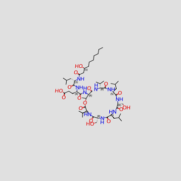 CCCCCCC[C@H](O)CC(=O)N[C@@H](CC(C)C)C(=O)N[C@H](CCC(=O)O)C(=O)N[C@H]1C(=O)N[C@H](C(C)C)C(=O)N[C@@H](CC(C)C)C(=O)N[C@H](CO)C(=O)N[C@@H](CC(C)C)C(=O)N[C@H](CO)C(=O)N[C@@H](C(C)C)C(=O)OC1C